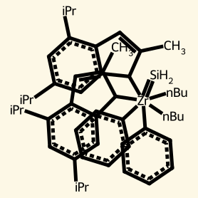 CCC[CH2][Zr](=[SiH2])([CH2]CCC)([c]1ccccc1)([c]1ccccc1)([CH]1C(C)=Cc2c(C(C)C)cc(C(C)C)cc21)[CH]1C(C)=Cc2c(C(C)C)cc(C(C)C)cc21